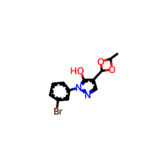 CC1OC(c2cnn(-c3cccc(Br)c3)c2O)O1